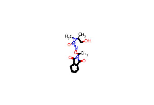 CC(O/N=[N+](\[O-])N(C)[C@@H](C)CO)N1C(=O)c2ccccc2C1=O